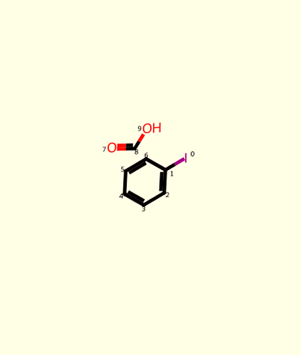 Ic1ccccc1.O=CO